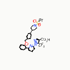 CC(C)S(=O)(=O)N1CCC(c2ccc(COc3ccccc3-c3cccc(-n4ncc(C(=O)O)c4C(F)(F)F)n3)cc2)CC1